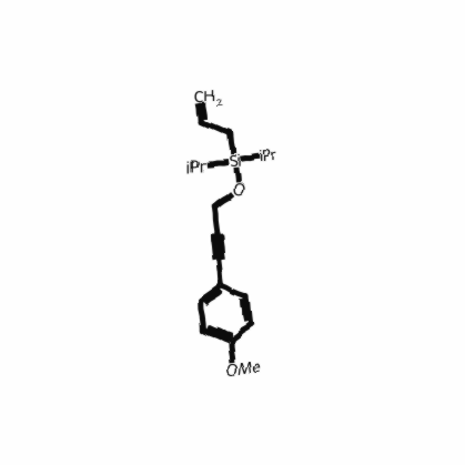 C=CC[Si](OCC#Cc1ccc(OC)cc1)(C(C)C)C(C)C